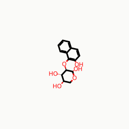 Oc1ccc2ccccc2c1O[C@@H]1[C@@H](O)[C@H](O)CO[C@H]1O